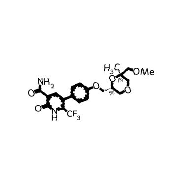 COC[C@@]1(C)COC[C@H](COc2ccc(-c3cc(C(N)=O)c(=O)[nH]c3C(F)(F)F)cc2)O1